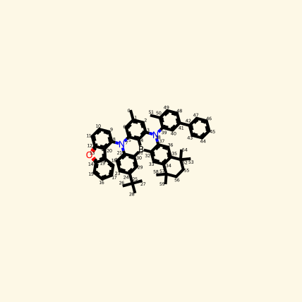 Cc1cc2c3c(c1)N(c1cccc4oc5ccccc5c14)c1ccc(C(C)(C)C)cc1B3c1cc3c(cc1N2c1cc(-c2ccccc2)ccc1C)C(C)(C)CCC3(C)C